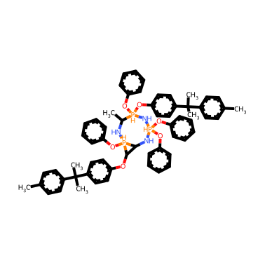 Cc1ccc(C(C)(C)c2ccc(OC3C4N[PH](Oc5ccccc5)(Oc5ccccc5)N[PH](Oc5ccccc5)(Oc5ccc(C(C)(C)c6ccc(C)cc6)cc5)C(C)N[PH]43Oc3ccccc3)cc2)cc1